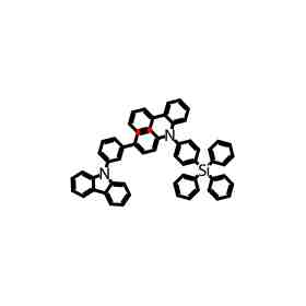 c1ccc(-c2ccccc2N(c2ccc(-c3cccc(-n4c5ccccc5c5ccccc54)c3)cc2)c2ccc([Si](c3ccccc3)(c3ccccc3)c3ccccc3)cc2)cc1